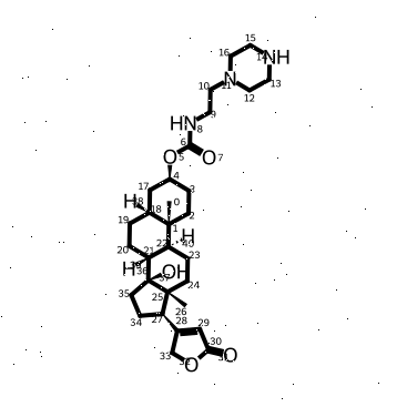 C[C@]12CC[C@H](OC(=O)NCCN3CCNCC3)C[C@H]1CC[C@@H]1[C@@H]2CC[C@]2(C)[C@@H](C3=CC(=O)OC3)CC[C@]12O